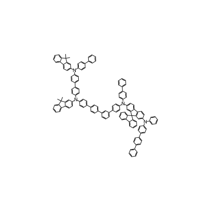 CC1(C)c2ccccc2-c2ccc(N(c3ccc(-c4ccccc4)cc3)c3ccc(-c4ccc(N(c5ccc(-c6ccc(-c7cccc(-c8ccc(N(c9ccc(-c%10ccccc%10)cc9)c9ccc%10c(c9)C9(c%11ccccc%11-c%11ccccc%119)c9cc(N(c%11ccccc%11)c%11ccc(-c%12ccc(-c%13ccccc%13)cc%12)cc%11)ccc9-%10)cc8)c7)cc6)cc5)c5ccc6c(c5)C(C)(C)c5ccccc5-6)cc4)cc3)cc21